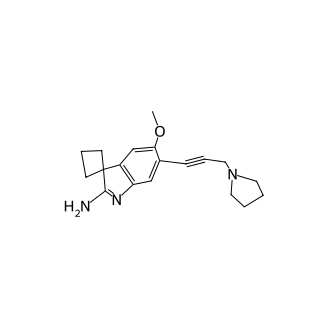 COc1cc2c(cc1C#CCN1CCCC1)N=C(N)C21CCC1